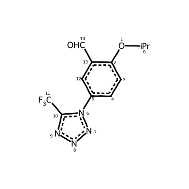 CC(C)Oc1ccc(-n2nnnc2C(F)(F)F)cc1C=O